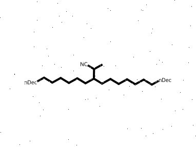 CCCCCCCCCCCCCCCCCC(CCCCCCCCCCCCCCCC)C(C)C#N